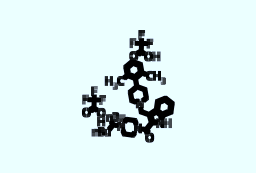 CCCCC(CCCC)N1CCN(C(=O)c2[nH]c3ccccc3c2CN2CCC(c3c(C)cccc3C)CC2)CC1.O=C(O)C(F)(F)F.O=C(O)C(F)(F)F